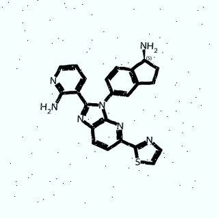 Nc1ncccc1-c1nc2ccc(-c3nccs3)nc2n1-c1ccc2c(c1)CC[C@@H]2N